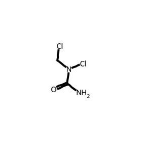 NC(=O)N(Cl)CCl